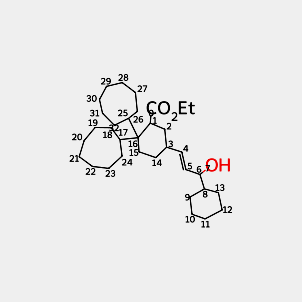 CCOC(=O)C1CC(/C=C/C(O)C2CCCCC2)CCC1(C1CCCCCCC1)C1CCCCCCC1